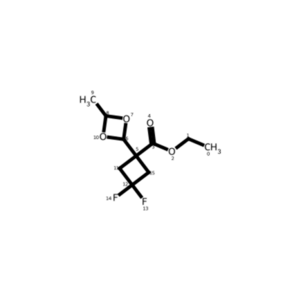 CCOC(=O)C1(C2OC(C)O2)CC(F)(F)C1